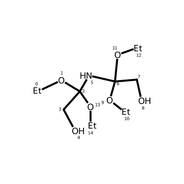 CCOC(CO)(NC(CO)(OCC)OCC)OCC